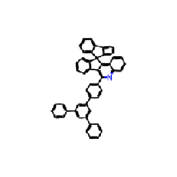 c1ccc(-c2cc(-c3ccccc3)cc(-c3ccc(-c4nc5ccccc5c5c4-c4ccccc4C54c5ccccc5-c5ccccc54)cc3)c2)cc1